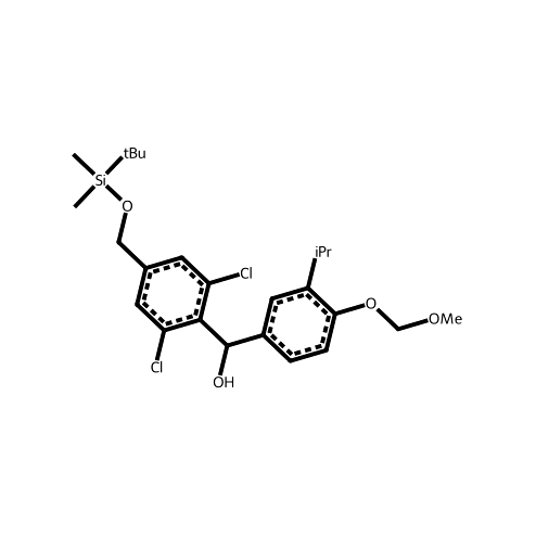 COCOc1ccc(C(O)c2c(Cl)cc(CO[Si](C)(C)C(C)(C)C)cc2Cl)cc1C(C)C